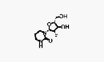 O=C1NCCCN1[C@@H]1O[C@H](CO)C(O)[C@@H]1F